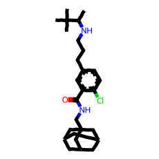 CC(NCCCc1ccc(Cl)c(C(=O)NCC23CC4CC(CC(C4)C2)C3)c1)C(C)(C)C